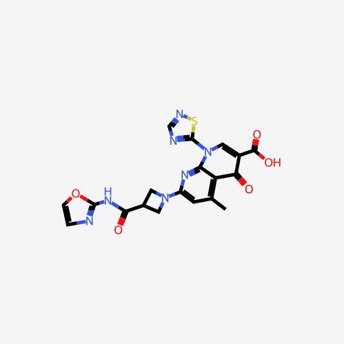 Cc1cc(N2CC(C(=O)Nc3ncco3)C2)nc2c1c(=O)c(C(=O)O)cn2-c1ncns1